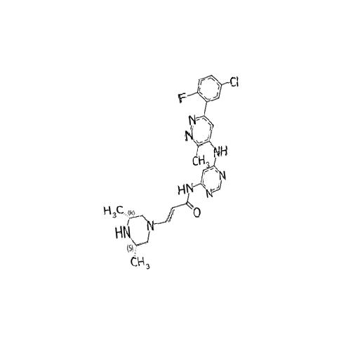 Cc1nnc(-c2cc(Cl)ccc2F)cc1Nc1cc(NC(=O)C=CN2C[C@@H](C)N[C@@H](C)C2)ncn1